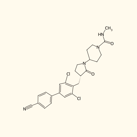 CNC(=O)N1CCC(N2CC[C@@H](Cc3c(Cl)cc(-c4ccc(C#N)cc4)cc3Cl)C2=O)CC1